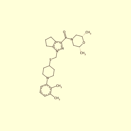 Cc1cccc(N2CCC(SCn3nc(C(=O)N4C[C@@H](C)O[C@@H](C)C4)c4c3CCC4)CC2)c1C